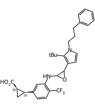 CC(C)(C)c1c(C2OC2Nc2cc([C@H]3C[C@H]3C(=O)O)ccc2C(F)(F)F)ccn1CCCc1ccccc1